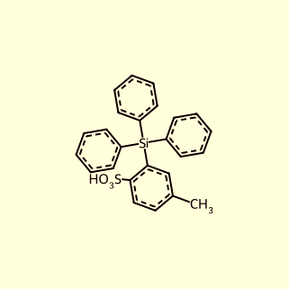 Cc1ccc(S(=O)(=O)O)c([Si](c2ccccc2)(c2ccccc2)c2ccccc2)c1